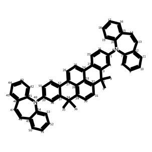 CC1(C)c2cc(N3c4ccccc4C=Cc4ccccc43)ccc2-c2ccc3c4c(ccc1c24)C(C)(C)c1cc(N2c4ccccc4C=Cc4ccccc42)ccc1-3